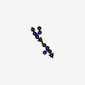 Cc1ccc(-c2ccc3c4ccc(-c5c(C)cc(CCc6ccc(-c7ccc8c9ccc(-c%10c(C)cc(C)cc%10C)cc9n(-c9ccccc9)c8c7)cc6)cc5C)cc4n(-c4cccc(-c5ccccc5)c4)c3c2)cc1